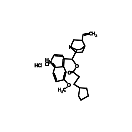 C=CC1CN2CCC1CC2C(OC(=O)CCC1CCCC1)c1ccnc2ccc(OC)cc12.Cl.Cl